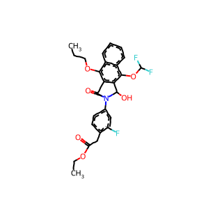 CCCOc1c2c(c(OC(F)F)c3ccccc13)C(O)N(c1ccc(CC(=O)OCC)c(F)c1)C2=O